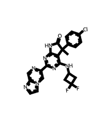 CC1(c2ccc(Cl)cc2)C(=O)Nc2nc(-c3cn4ccnc4cn3)nc(NC3CC(F)(F)C3)c21